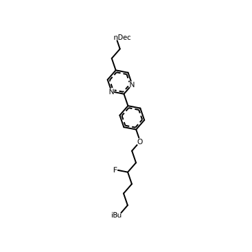 CCCCCCCCCCCCc1cnc(-c2ccc(OCCC(F)CCCC(C)CC)cc2)nc1